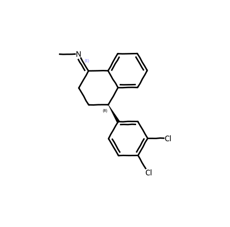 C/N=C1\CC[C@H](c2ccc(Cl)c(Cl)c2)c2ccccc21